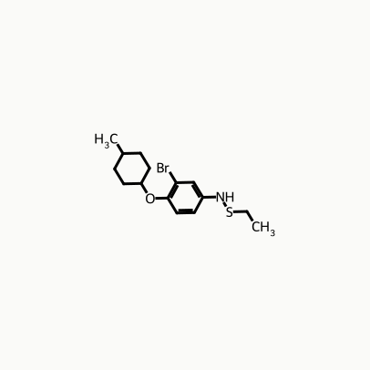 CCSNc1ccc(OC2CCC(C)CC2)c(Br)c1